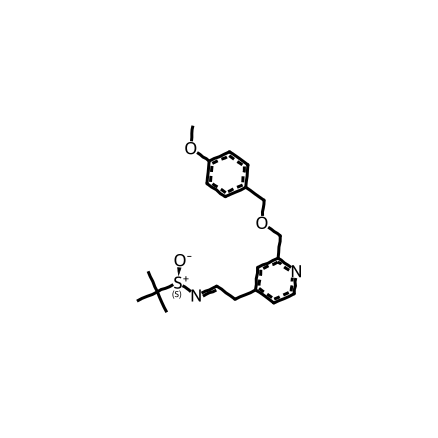 COc1ccc(COCc2cc(CC=N[S@+]([O-])C(C)(C)C)ccn2)cc1